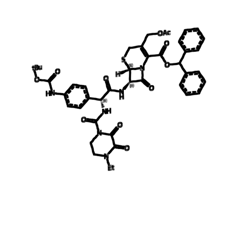 CCN1CCN(C(=O)N[C@@H](C(=O)N[C@@H]2C(=O)N3C(C(=O)OC(c4ccccc4)c4ccccc4)=C(COC(C)=O)CS[C@@H]23)c2ccc(NC(=O)OC(C)(C)C)cc2)C(=O)C1=O